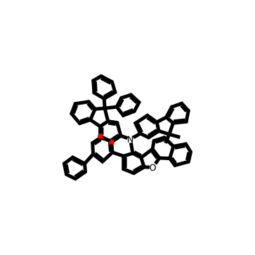 CC1(C)c2ccccc2-c2ccc(N(c3ccc4c(c3)C(c3ccccc3)(c3ccccc3)c3ccccc3-4)c3c(-c4cccc(-c5ccccc5)c4)ccc4oc5c6ccccc6ccc5c34)cc21